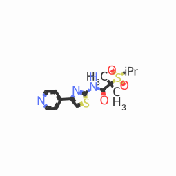 CC(C)S(=O)(=O)C(C)(C)C(=O)Nc1nc(-c2ccncc2)cs1